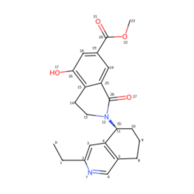 CCc1cc2c(cn1)CCC[C@@H]2N1CCc2c(O)cc(C(=O)OC)cc2C1=O